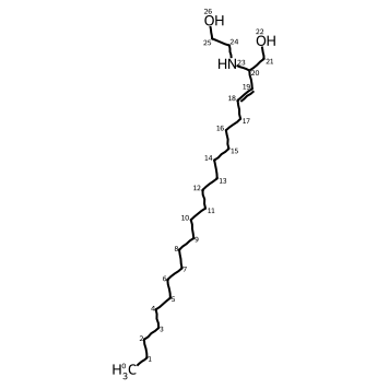 CCCCCCCCCCCCCCCCCC/C=C/C(CO)NCCO